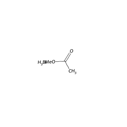 COC(C)=O.[BiH3]